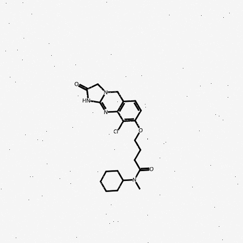 CN(C(=O)CCCOc1ccc2c(c1Cl)N=C1NC(=O)CN1C2)C1CCCCC1